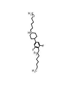 CCCCCC[C@@H](F)Cc1c(F)cc(C2CC[SiH](CCCCCOC)CC2)cc1F